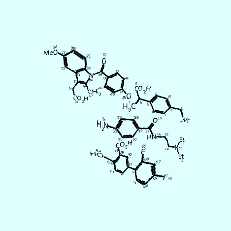 CC(C)Cc1ccc(C(C)C(=O)O)cc1.CCN(CC)CCNC(=O)c1ccc(N)cc1.COc1ccc2c(c1)c(CC(=O)O)c(C)n2C(=O)c1ccc(Cl)cc1.O=C(O)c1cc(-c2ccc(F)cc2F)ccc1O